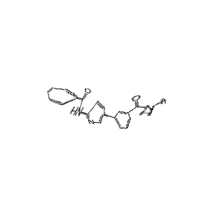 CC(C)NC(=O)c1cccc(-c2ccc(NC(=O)c3ccccc3)nc2)c1